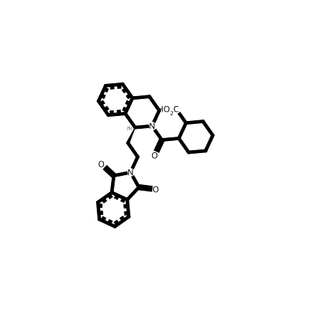 O=C(O)C1CCCCC1C(=O)N1CCc2ccccc2[C@@H]1CCN1C(=O)c2ccccc2C1=O